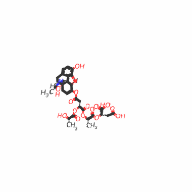 C[C@H](O)C(=O)O[C@@H](CC(=O)OC1=CC[C@@]2(O)[C@H]3Cc4ccc(O)c5c4[C@@]2(CCN3C)[C@H]1O5)C(=O)O[C@@H](C)C(=O)O[C@H](CC(=O)O)C(=O)O